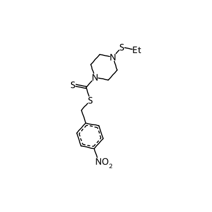 CCSN1CCN(C(=S)SCc2ccc([N+](=O)[O-])cc2)CC1